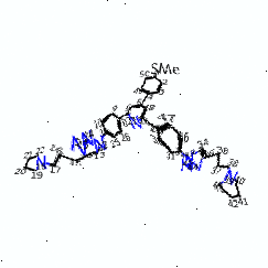 CSc1ccc(-c2cc(-c3ccc(-n4cc(CCCN5CCCC5)nn4)cc3)nc(-c3ccc(-n4cc(CCCN5CCCC5)nn4)cc3)c2)cc1